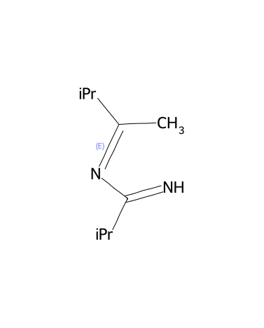 C/C(=N\C(=N)C(C)C)C(C)C